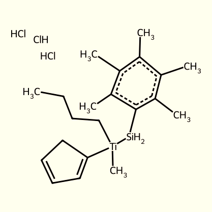 CCC[CH2][Ti]([CH3])([SiH2]c1c(C)c(C)c(C)c(C)c1C)[C]1=CC=CC1.Cl.Cl.Cl